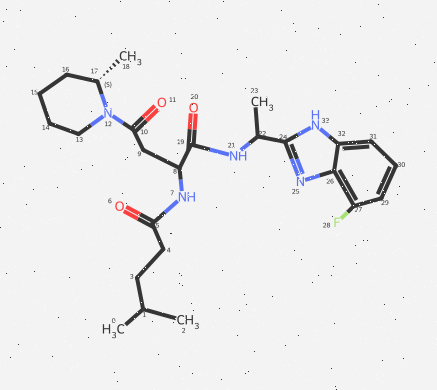 CC(C)CCC(=O)NC(CC(=O)N1CCCC[C@@H]1C)C(=O)NC(C)c1nc2c(F)cccc2[nH]1